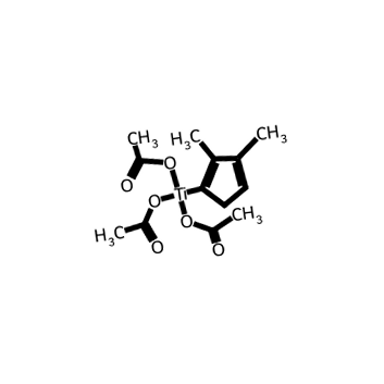 CC(=O)[O][Ti]([O]C(C)=O)([O]C(C)=O)[C]1=C(C)C(C)=CC1